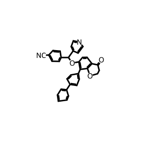 N#Cc1ccc(C(Oc2ccc3c(c2-c2ccc(-c4ccccc4)cc2)OCCC3=O)c2ccncc2)cc1